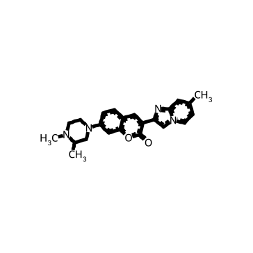 Cc1ccn2cc(-c3cc4ccc(N5CCN(C)C(C)C5)cc4oc3=O)nc2c1